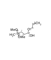 C=CCOC(O)CC[Si](C)(OC)OC